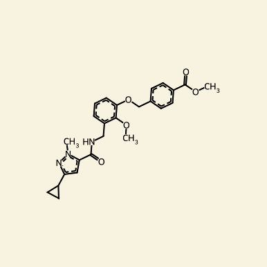 COC(=O)c1ccc(COc2cccc(CNC(=O)c3cc(C4CC4)nn3C)c2OC)cc1